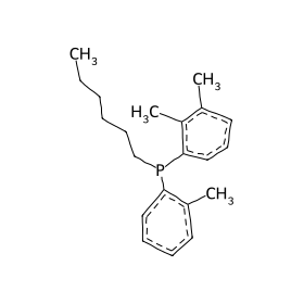 CCCCCCP(c1ccccc1C)c1cccc(C)c1C